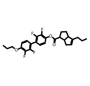 CCCOc1ccc(-c2ccc(OC(=O)C3CCC4C(CCC)=CCC34)c(F)c2F)c(F)c1F